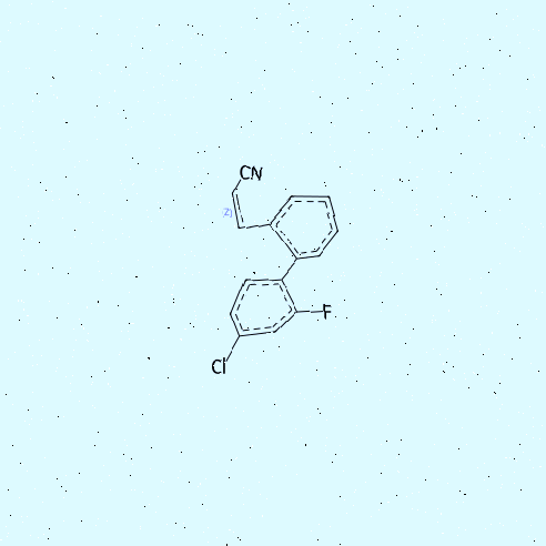 N#C/C=C\c1ccccc1-c1ccc(Cl)cc1F